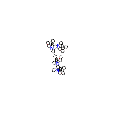 c1ccc(-c2ccccc2B2c3ccccc3-n3c4cc5c6c(c7cc(-c8ccc(B9c%10ccccc%10-n%10c%11cc%12c%13c(c%14ccccc%14n%13-c%13ccccc%13B%12c%12ccccc%12-c%12ccccc%12)c%11c%11cccc9c%11%10)c(-c9ccccc9)c8)ccc7n6-c6ccccc6B5c5ccccc5-c5ccccc5)c4c4cccc2c43)cc1